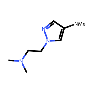 CNc1cnn(CCN(C)C)c1